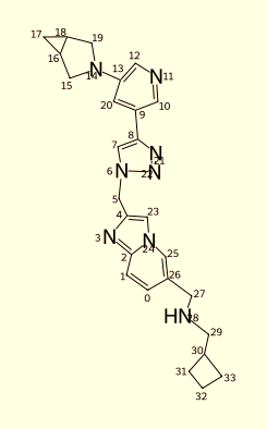 c1cc2nc(Cn3cc(-c4cncc(N5CC6CC6C5)c4)nn3)cn2cc1CNCC1CCC1